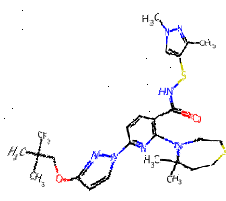 Cc1nn(C)cc1SNC(=O)c1ccc(-n2ccc(OCC(C)(C)C(F)(F)F)n2)nc1N1CCSCCC1(C)C